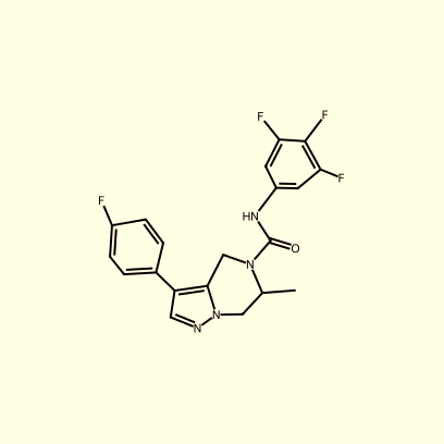 CC1Cn2ncc(-c3ccc(F)cc3)c2CN1C(=O)Nc1cc(F)c(F)c(F)c1